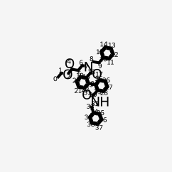 CCOC(=O)CCN(CCc1ccccc1)C(=O)c1ccccc1-c1ccccc1C(=O)NCc1ccccc1